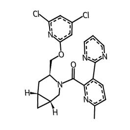 Cc1ccc(-c2ncccn2)c(C(=O)N2C[C@@H]3C[C@@H]3C[C@H]2COc2cc(Cl)cc(Cl)n2)n1